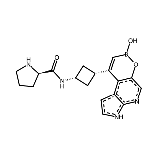 O=C(N[C@H]1C[C@@H](C2=CB(O)Oc3cnc4[nH]ccc4c32)C1)[C@H]1CCCN1